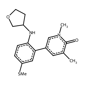 CSc1ccc(NC2CCOC2)c(-c2cc(C)c(=O)n(C)c2)c1